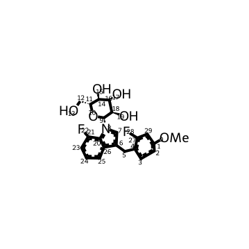 COc1ccc(Cc2cn([C@@H]3O[C@H](CO)[C@@H](O)[C@H](O)[C@H]3O)c3c(F)cccc23)c(F)c1